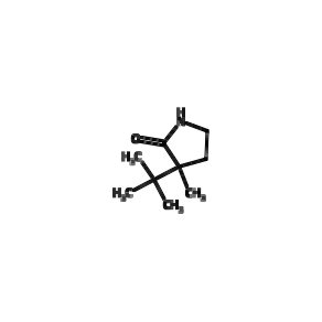 CC(C)(C)C1(C)CCNC1=O